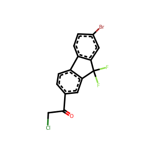 O=C(CCl)c1ccc2c(c1)C(F)(F)c1cc(Br)ccc1-2